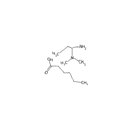 CCC(N)N(C)C.CCCCCC(=O)O